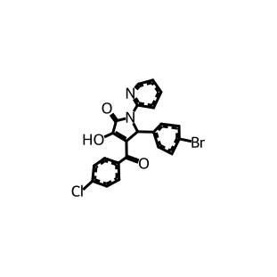 O=C(C1=C(O)C(=O)N(c2ccccn2)C1c1ccc(Br)cc1)c1ccc(Cl)cc1